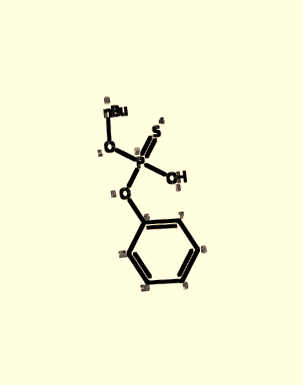 CCCCOP(O)(=S)Oc1ccccc1